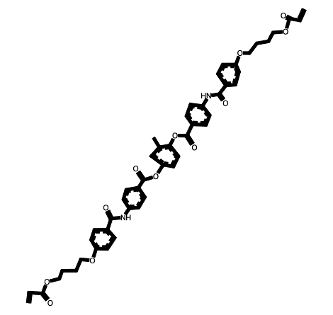 C=CC(=O)OCCCCOc1ccc(C(=O)Nc2ccc(C(=O)Oc3ccc(OC(=O)c4ccc(NC(=O)c5ccc(OCCCCOC(=O)C=C)cc5)cc4)c(C)c3)cc2)cc1